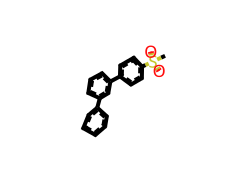 CS(=O)(=O)c1ccc(-c2cccc(-c3ccccc3)c2)cc1